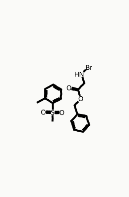 Cc1ccccc1S(C)(=O)=O.O=C(CNBr)OCc1ccccc1